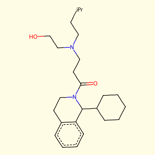 CC(C)CCN(CCO)CCC(=O)N1CCc2ccccc2C1C1CCCCC1